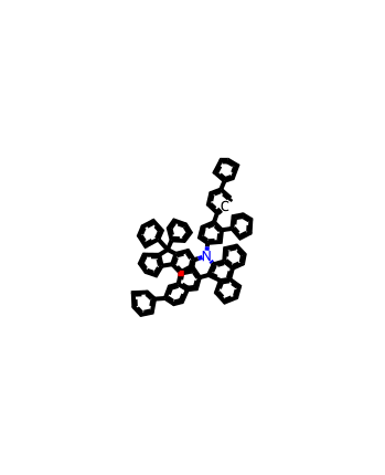 c1ccc(-c2ccc(-c3ccc(N(c4ccc5c(c4)C(c4ccccc4)(c4ccccc4)c4ccccc4-5)c4c(-c5ccc6cc(-c7ccccc7)ccc6c5)c5ccccc5c5ccccc45)cc3-c3ccccc3)cc2)cc1